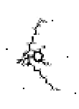 CCCCCCCCCCCCCCCCCCC(CCCCCCCCCCCCCCCCCC)(c1cc(C(C)(C)C)cc(C(C)(C)C)c1)P(=O)(O)O